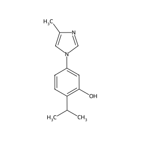 Cc1cn(-c2ccc(C(C)C)c(O)c2)cn1